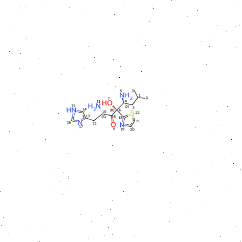 CC(C)C[C@H](N)[C@@](O)(C(=O)[C@@H](N)Cc1c[nH]cn1)c1nccs1